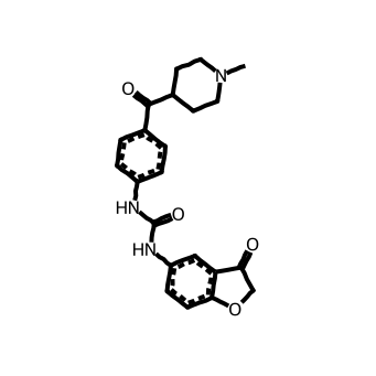 CN1CCC(C(=O)c2ccc(NC(=O)Nc3ccc4c(c3)C(=O)CO4)cc2)CC1